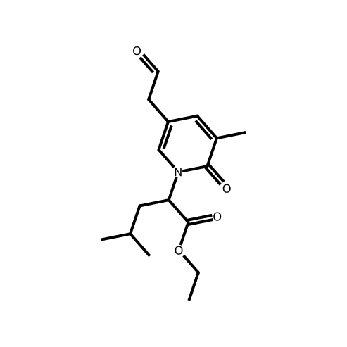 CCOC(=O)C(CC(C)C)n1cc(CC=O)cc(C)c1=O